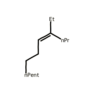 CCCCCCCC=C(CC)CCC